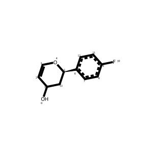 OC1C=CO[C@@H](c2ccc(F)cc2)C1